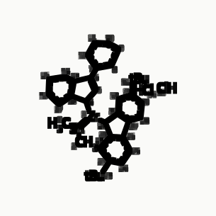 C[Si](C)=[Zr]([CH]1C=C(c2ccccc2)c2ccccc21)[CH]1c2cc(C(C)(C)C)ccc2-c2ccc(C(C)(C)C)cc21.Cl.Cl